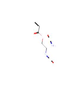 C=CC(=O)OCCN=C=O.N=C=O